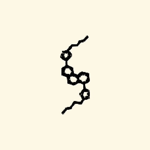 CCCCCc1nnc(-c2ccc3ccc4c(-c5nnc(CCCCC)s5)cccc4c3c2)s1